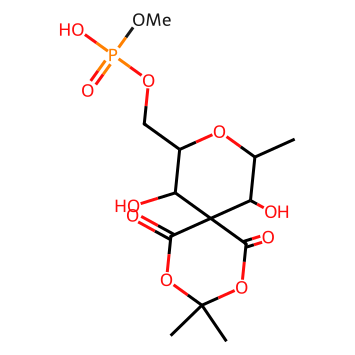 COP(=O)(O)OCC1OC(C)C(O)C2(C(=O)OC(C)(C)OC2=O)C1O